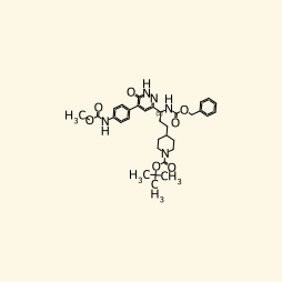 COC(=O)Nc1ccc(-c2cc([C@H](CCC3CCN(C(=O)OC(C)(C)C)CC3)NC(=O)OCc3ccccc3)n[nH]c2=O)cc1